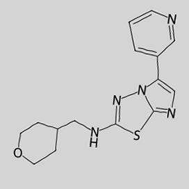 c1cncc(-c2cnc3sc(NCC4CCOCC4)nn23)c1